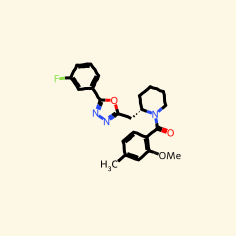 COc1cc(C)ccc1C(=O)N1CCCC[C@H]1Cc1nnc(-c2cccc(F)c2)o1